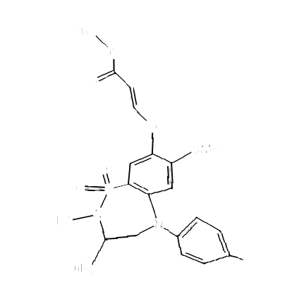 CCCCC1CN(c2ccc(F)cc2)c2cc(SC)c(O/C=C/C(=O)OC(C)(C)C)cc2S(=O)(=O)N1C